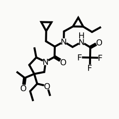 CCC1CC1CN(CNC(=O)C(F)(F)F)C(CC1CC1)C(=O)N1CC(C(C)=O)(C(CC)OC)CC1C